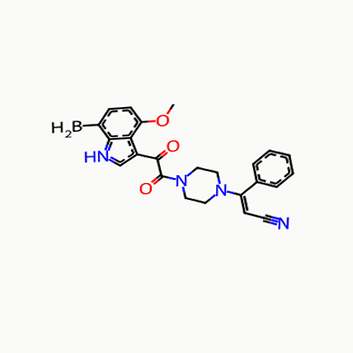 Bc1ccc(OC)c2c(C(=O)C(=O)N3CCN(/C(=C/C#N)c4ccccc4)CC3)c[nH]c12